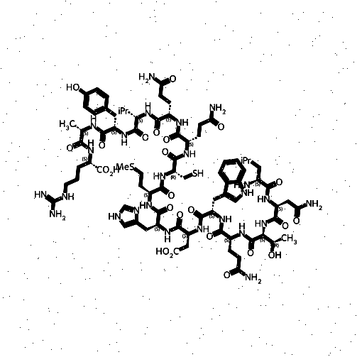 CSCC[C@H](NC(=O)[C@H](Cc1c[nH]cn1)NC(=O)[C@H](CC(=O)O)NC(=O)[C@H](Cc1c[nH]c2ccccc12)NC(=O)[C@H](CCC(N)=O)NC(=O)[C@@H](NC(=O)[C@H](CC(N)=O)NC(=O)[C@@H](N)CC(C)C)[C@@H](C)O)C(=O)N[C@@H](CS)C(=O)N[C@@H](CCC(N)=O)C(=O)N[C@@H](CCC(N)=O)C(=O)N[C@H](C(=O)N[C@@H](Cc1ccc(O)cc1)C(=O)N[C@@H](C)C(=O)N[C@@H](CCCNC(=N)N)C(=O)O)C(C)C